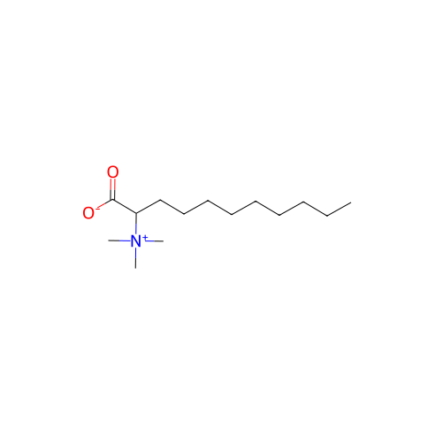 CCCCCCCCCC(C(=O)[O-])[N+](C)(C)C